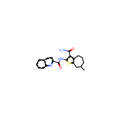 CC1CCCc2c(sc(NC(=O)c3ccc4ccccc4n3)c2C(N)=O)C1